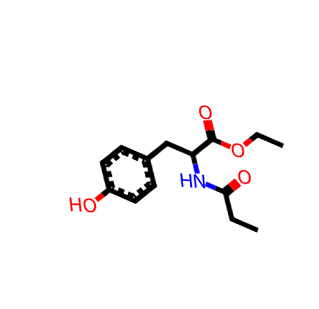 CCOC(=O)C(Cc1ccc(O)cc1)NC(=O)CC